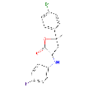 CC1(c2ccc(Br)cc2)CC(Nc2ccc(I)cc2)C(=O)O1